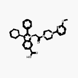 COc1cccc(N2CCN(C(=O)Cn3c(-c4ccccc4)c(C4CCCCC4)c4ccc(C(=O)O)cc43)CC2)n1